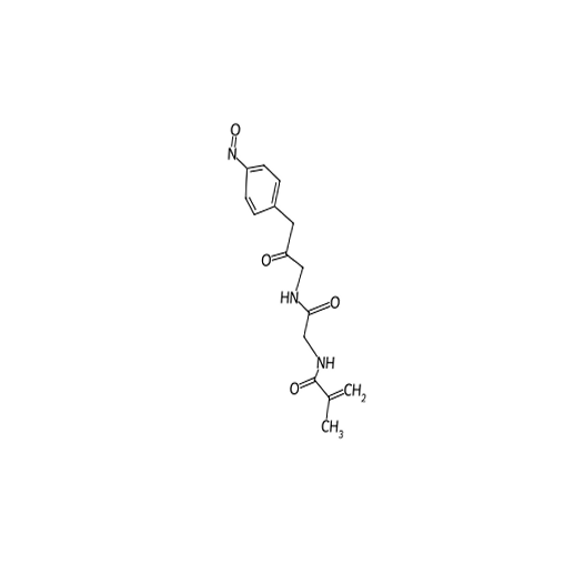 C=C(C)C(=O)NCC(=O)NCC(=O)Cc1ccc(N=O)cc1